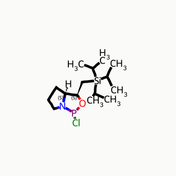 CC(C)[Si](C[C@H]1OP(Cl)N2CCC[C@@H]12)(C(C)C)C(C)C